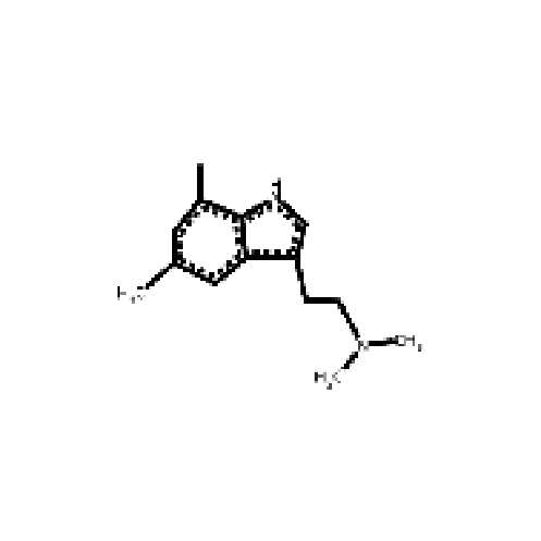 Cc1cc(I)c2[nH]cc(CCN(C)C)c2c1